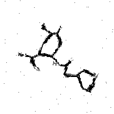 COC(=O)c1cc(I)c(Cl)cc1NC(=O)Cc1cccnc1